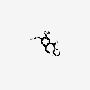 CCCCOc1cc2c(cc1OC)C(=O)N1CCC[C@H]1C=C2